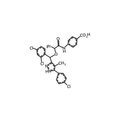 Cc1c(C(OC(C(=O)Nc2ccc(C(=O)O)cc2)C(C)C)c2ccc(Cl)cc2Cl)n[nH]c1-c1ccc(Cl)cc1